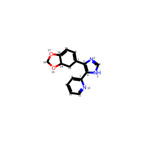 C1=C(c2nc[nH]c2-c2ccccn2)CC2OCOC2=C1